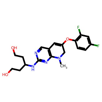 CN1CC(Oc2ccc(F)cc2F)=Cc2cnc(NC(CCO)CCO)nc21